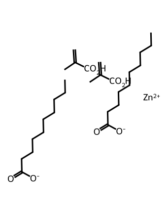 C=C(C)C(=O)O.C=C(C)C(=O)O.CCCCCCCCCC(=O)[O-].CCCCCCCCCC(=O)[O-].[Zn+2]